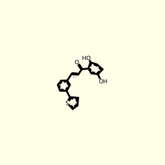 O=C(/C=C/c1cccc(-c2cccs2)c1)c1cc(O)ccc1O